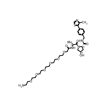 Cc1ncsc1-c1ccc(CNC(=O)[C@@H]2C[C@@H](O)CN2C(=O)[C@@H](NC(=O)COCCOCCOCCOCCOCCOCCN)C(C)(C)C)cc1